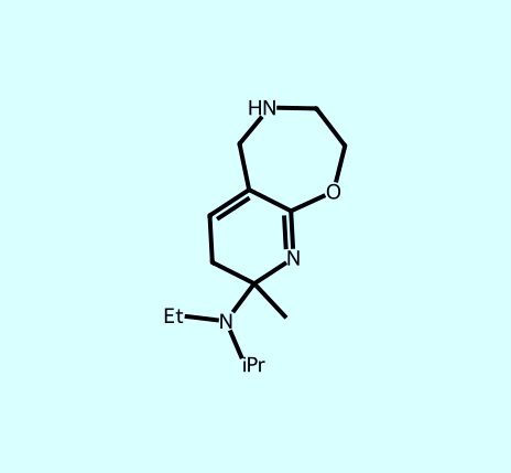 CCN(C(C)C)C1(C)CC=C2CNCCOC2=N1